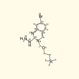 C[Si](C)(C)CCOCN1C=c2ccc(Br)cc2=NC1NN